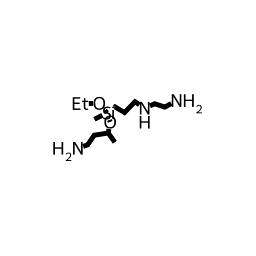 CCO[Si](C)(CCCNCCN)OC(C)CCN